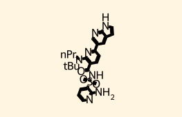 CCCN(c1nc(-c2cnc3[nH]ccc3c2)ccc1C(=O)NS(=O)(=O)c1cccnc1N)C(C)(C)C